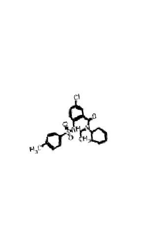 CCN(C(=O)c1cc(Cl)ccc1NS(=O)(=O)c1ccc(C)cc1)C1CCCCC1